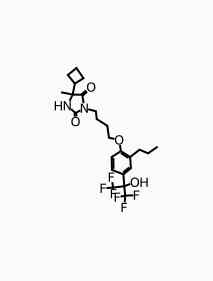 CCCc1cc(C(O)(C(F)(F)F)C(F)(F)F)ccc1OCCCCN1C(=O)NC(C)(C2CCC2)C1=O